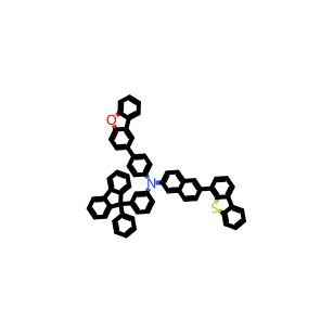 c1ccc(C2(c3cccc(N(c4ccc(-c5ccc6oc7ccccc7c6c5)cc4)c4ccc5cc(-c6cccc7c6sc6ccccc67)ccc5c4)c3)c3ccccc3-c3ccccc32)cc1